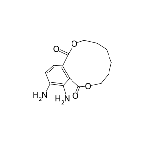 Nc1ccc2c(c1N)C(=O)OCCCCCCOC2=O